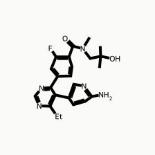 CCc1ncnc(-c2ccc(C(=O)N(C)CC(C)(C)O)c(F)c2)c1-c1ccc(N)nc1